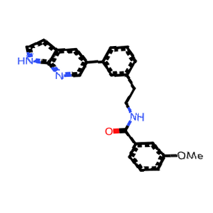 COc1cccc(C(=O)NCCc2cccc(-c3cnc4[nH]ccc4c3)c2)c1